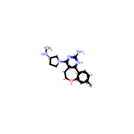 CN[C@@H]1CCN(c2nc(N)nc3c2CCOc2cc(I)ccc2-3)C1